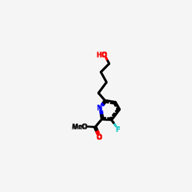 COC(=O)c1nc(CCCCO)ccc1F